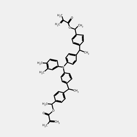 C=C(C)C(=O)OC(C)c1ccc(C(C)c2ccc(N(c3ccc(C(C)c4ccc(C(C)OC(=O)C(=C)C)cc4)cc3)c3ccc(C)c(C)c3)cc2)cc1